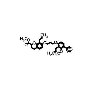 C=CCc1c(OCCCOc2ccc3c(c2CCC)OC(C(=O)OC)CC3)ccc(-c2cscn2)c1OC